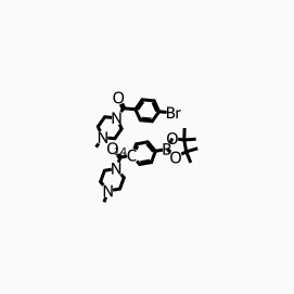 CN1CCN(C(=O)[14c]2ccc(B3OC(C)(C)C(C)(C)O3)cc2)CC1.CN1CCN(C(=O)c2ccc(Br)cc2)CC1